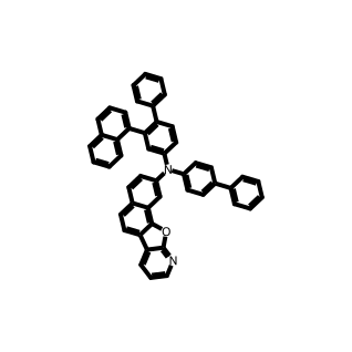 c1ccc(-c2ccc(N(c3ccc(-c4ccccc4)c(-c4cccc5ccccc45)c3)c3ccc4ccc5c6cccnc6oc5c4c3)cc2)cc1